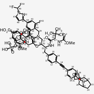 COC(=O)N[C@H](C(=O)N[C@@H](Cc1ccc(C#Cc2cnc(N3CC4CCC(C3)N4C3COC3)nc2)cc1)[C@H](CN(Cc1c(F)cc(-c2ccn(C(F)F)n2)cc1F)NC(=O)[C@@H](NC(=O)OC)C(C)(C)C(F)(F)F)OC(=O)CC(C)(C)c1c(C)cc(C(=O)O)cc1OP(=O)(O)O)C(C)(C)C(F)(F)F